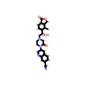 Cc1c([C@@H](O)CN2CCN(c3cnc4cc(C#N)ccc4c3)C(=O)C2)ccc2c1COC2=O